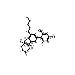 CCCCSc1cc(-c2c(Cl)cc(Cl)cc2Cl)cc2c1O[C@H]1CCNC[C@@H]21